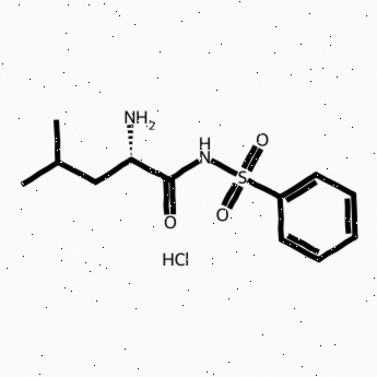 CC(C)C[C@H](N)C(=O)NS(=O)(=O)c1ccccc1.Cl